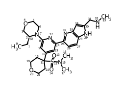 CC[C@H]1COCCN1c1cc(C2(S(=O)(=O)N(C)C)CCOCC2)cc(-c2ccc3[nH]c(CNC)cc3n2)n1